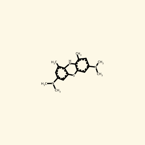 Cc1cc(N(C)C)cc2c1Nc1c(C)cc(N(C)C)cc1S2